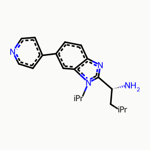 CC(C)C[C@@H](N)c1nc2ccc(-c3ccncc3)cc2n1C(C)C